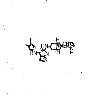 Cc1cc(Nc2nc(N[C@H]3C[C@@H]4CC(C=O)(C[C@@H]5CCCN5)C[C@H](C3)N4)nc3sccc23)n[nH]1